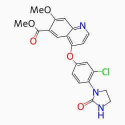 COC(=O)c1cc2c(Oc3ccc(N4CCNC4=O)c(Cl)c3)ccnc2cc1OC